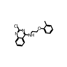 Cc1ccccc1OCCNc1nc(Cl)nc2ccccc12